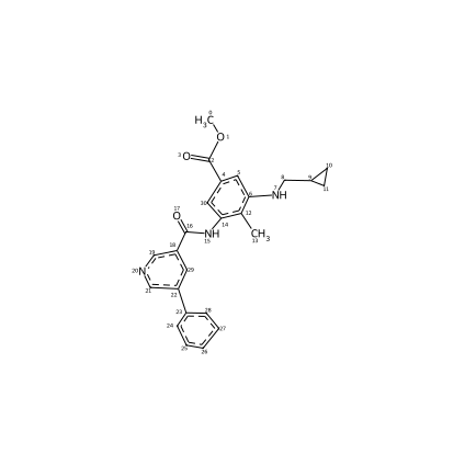 COC(=O)c1cc(NCC2CC2)c(C)c(NC(=O)c2cncc(-c3ccccc3)c2)c1